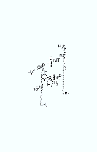 C=CCOP(OCCCOCC[C@@H](CCCCCCC)OO)OCCNC(=O)NCCOP(OCC=C)OC[C@@H](COCC[C@@H](CCCCCCC)OO)NC(=O)OC(C)(C)C